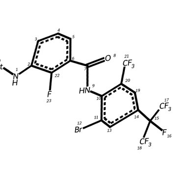 CCNc1cccc(C(=O)Nc2c(Br)cc(C(F)(C(F)(F)F)C(F)(F)F)cc2C(F)(F)F)c1F